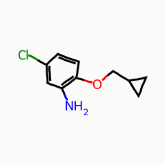 Nc1cc(Cl)ccc1OCC1CC1